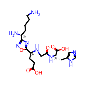 NCCCC[C@H](N)c1noc([C@H](CCC(=O)O)NCC(=O)N[C@@H](Cc2cnc[nH]2)C(=O)O)n1